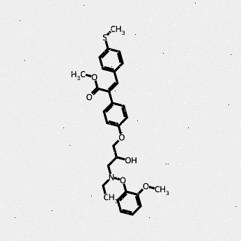 CCN(CC(O)COc1ccc(C(=Cc2ccc(SC)cc2)C(=O)OC)cc1)Oc1ccccc1OC